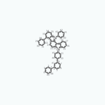 c1ccc(-c2cccc(-c3ccc(-n4c5ccccc5c5c4ccc4c6c(-c7ccccc7)cccc6n(-c6ccccc6)c45)cc3)c2)cc1